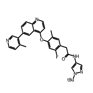 Cc1cc(CC(=O)Nc2cnn(C(C)(C)C)c2)c(F)cc1Oc1ccnc2ccc(-c3cnccc3C)cc12